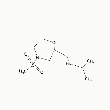 CC(C)NCC1CN(S(C)(=O)=O)CCO1